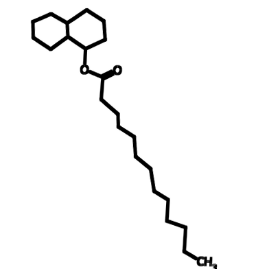 CCCCCCCCCCCCC(=O)OC1CCCC2CCCCC21